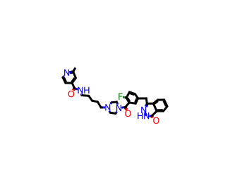 Cc1cc(C(=O)NCCCCCN2CCN(C(=O)c3cc(Cc4n[nH]c(=O)c5ccccc45)ccc3F)CC2)ccn1